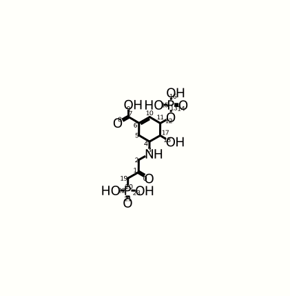 O=C(CNC1CC(C(=O)O)=CC(OP(=O)(O)O)C1O)CP(=O)(O)O